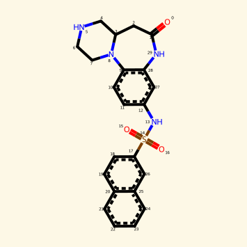 O=C1CC2CNCCN2c2ccc(NS(=O)(=O)c3ccc4ccccc4c3)cc2N1